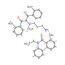 CC(=O)Oc1ccccc1C(=O)N(C(=O)c1ccccc1OC(C)=O)C(CCCN)C(=O)O.CC(=O)Oc1ccccc1C(=O)N(CC(=O)O)c1ccccc1